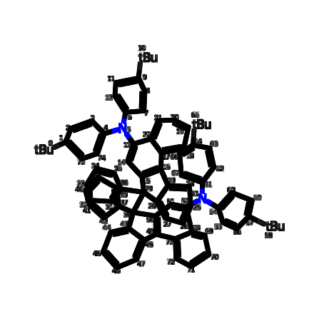 CC(C)(C)c1ccc(N(c2ccc(C(C)(C)C)cc2)c2cc3c(c4ccccc24)-c2ccccc2C3(c2ccccc2)C2(c3ccccc3)c3ccccc3-c3c2cc(N(c2ccc(C(C)(C)C)cc2)c2ccc(C(C)(C)C)cc2)c2ccccc32)cc1